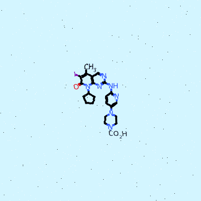 Cc1c(I)c(=O)n(C2CCCC2)c2nc(Nc3ccc(N4CCN(C(=O)O)CC4)cn3)ncc12